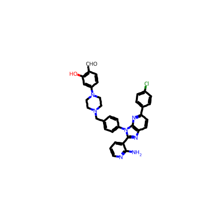 Nc1ncccc1-c1nc2ccc(-c3ccc(Cl)cc3)nc2n1-c1ccc(CN2CCN(c3ccc(C=O)c(O)c3)CC2)cc1